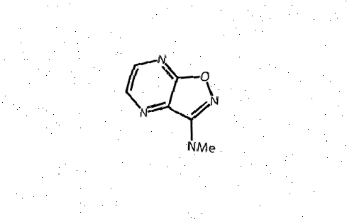 CNc1noc2nccnc12